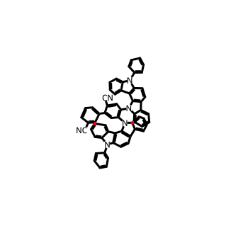 N#Cc1cccc(-c2cc(-n3c4ccccc4c4ccc5c(c6ccccc6n5-c5ccccc5)c43)c(-n3c4ccccc4c4ccc5c(c6ccccc6n5-c5ccccc5)c43)cc2C#N)c1